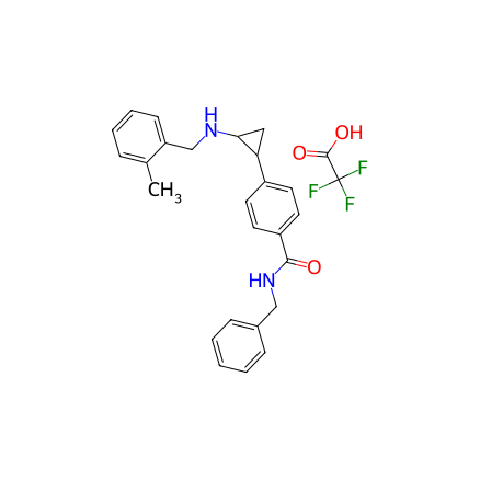 Cc1ccccc1CNC1CC1c1ccc(C(=O)NCc2ccccc2)cc1.O=C(O)C(F)(F)F